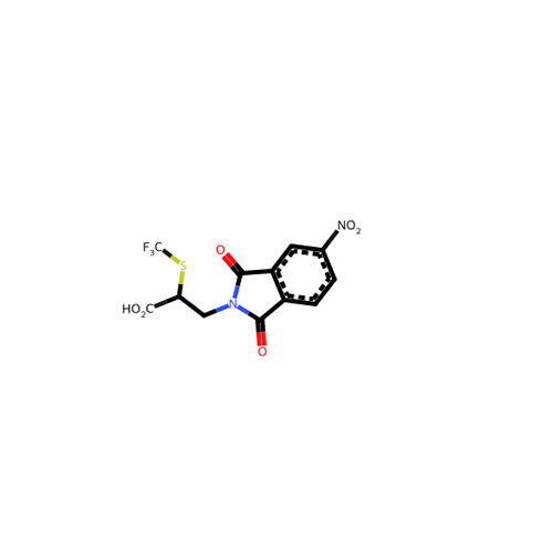 O=C(O)C(CN1C(=O)c2ccc([N+](=O)[O-])cc2C1=O)SC(F)(F)F